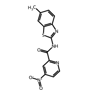 Cc1ccc2nc(NC(=O)c3cc([N+](=O)[O-])ccn3)sc2c1